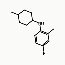 Cc1cc(F)ccc1NC1CCC(C)CC1